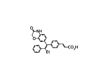 CCC(=C(c1ccc(C=CC(=O)O)cc1)c1ccc2c(c1)OCC(=O)N2)c1ccccc1